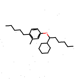 CCCCCc1ccc(OC(CCCCC)C2CCCCC2)cc1C